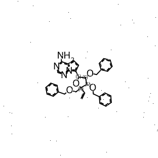 C=C[C@]1(COCc2ccccc2)O[C@@H](c2ccc3c(N)ncnn23)[C@H](OCc2ccccc2)[C@@H]1OCc1ccccc1